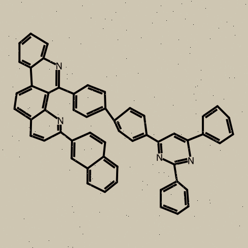 c1ccc(-c2cc(-c3ccc(-c4ccc(-c5nc6ccccc6c6ccc7ccc(-c8ccc9ccccc9c8)nc7c56)cc4)cc3)nc(-c3ccccc3)n2)cc1